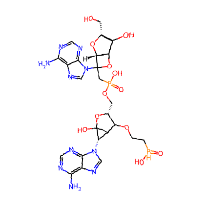 Nc1ncnc2c1ncn2[C@H]1C2C(OCC[PH](=O)O)[C@@H](COP(=O)(O)CC3(n4cnc5c(N)ncnc54)OC4C(O)[C@@H](CO)O[C@H]43)OC21O